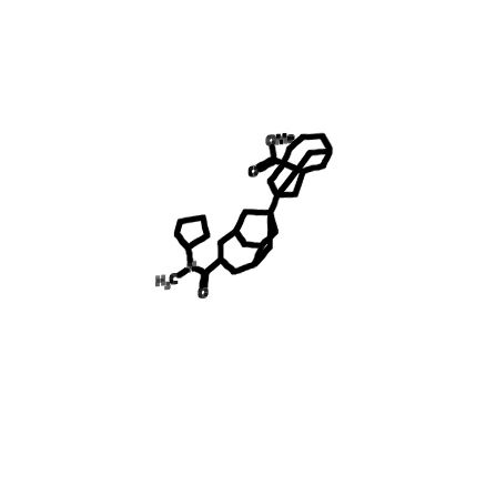 COC(=O)C12CCCC3CC1CC(C14CC5CC(C(=O)N(C)C6CCCC6)CC(C1)C(C5)C4)(C3)C2